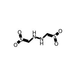 O=S(=O)=CNNC=S(=O)=O